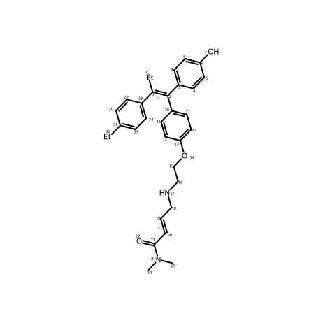 CC/C(=C(\c1ccc(O)cc1)c1ccc(OCCNC/C=C/C(=O)N(C)C)cc1)c1ccc(CC)cc1